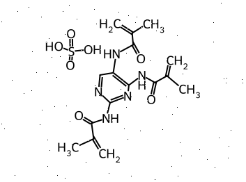 C=C(C)C(=O)Nc1ncc(NC(=O)C(=C)C)c(NC(=O)C(=C)C)n1.O=S(=O)(O)O